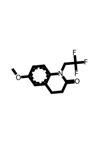 COc1ccc2c(c1)CCC(=O)N2CC(F)(F)F